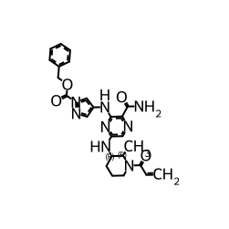 C=CC(=O)N1CCC[C@@H](Nc2cnc(C(N)=O)c(Nc3cnn(C(=O)OCc4ccccc4)c3)n2)[C@H]1C